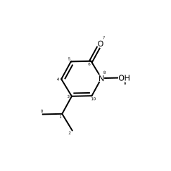 CC(C)c1ccc(=O)n(O)c1